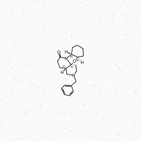 O=C1CC[C@H]2CN(Cc3ccccc3)CC[C@]23O[C@@H]2CCCC[C@H]2N13